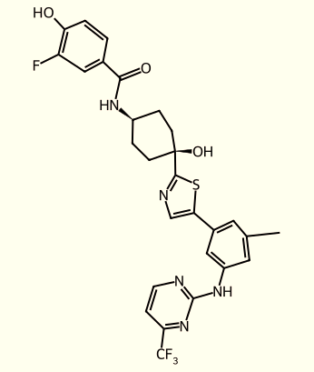 Cc1cc(Nc2nccc(C(F)(F)F)n2)cc(-c2cnc([C@]3(O)CC[C@@H](NC(=O)c4ccc(O)c(F)c4)CC3)s2)c1